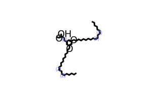 CCCCC/C=C\C/C=C\CCCCCCCCOc1cc(/C=C/C(O)OC)cc(OCCCCCCCC/C=C\C/C=C\CCCCC)c1